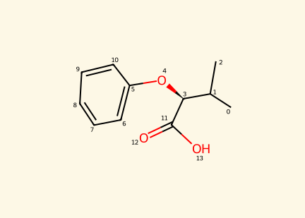 CC(C)[C@H](Oc1ccccc1)C(=O)O